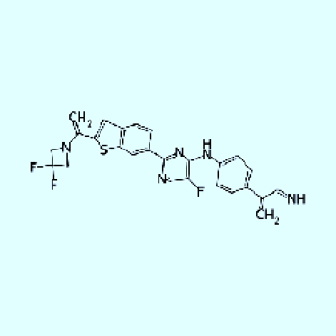 C=C(C=N)c1ccc(Nc2nc(-c3ccc4cc(C(=C)N5CC(F)(F)C5)sc4c3)ncc2F)cc1